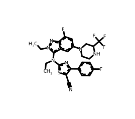 CCN(c1nc(-c2ccc(F)cc2)c(C#N)s1)c1c2cc(N3CCNC(C(F)(F)F)C3)cc(F)c2nn1CC